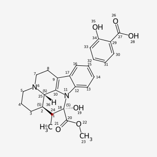 CC[C@]12CCCN3CCc4c(n(c5ccccc45)[C@@](O)(C(=O)OC)C1)[C@@H]32.O=C(O)c1ccccc1O